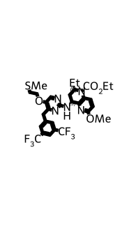 CCOC(=O)N1c2ccc(OC)nc2[C@@H](Nc2ncc(OCCSC)c(Cc3cc(C(F)(F)F)cc(C(F)(F)F)c3)n2)C[C@H]1CC